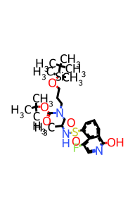 CC(CN(CCCO[Si](C)(C)C(C)(C)C)C(=O)OC(C)(C)C)NS(=O)(=O)c1cccc2c(O)ncc(F)c12